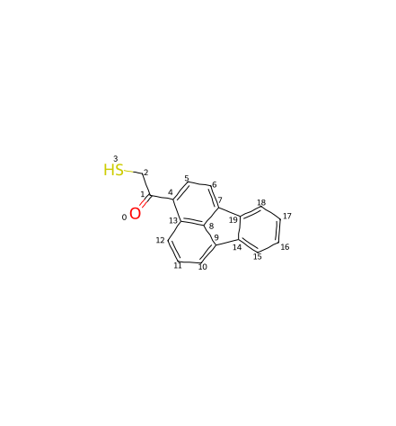 O=C(CS)c1ccc2c3c(cccc13)-c1ccccc1-2